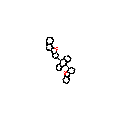 c1ccc2c(c1)ccc1c3ccc(-c4c5ccccc5c(-c5cccc6c5oc5ccccc56)c5ccccc45)cc3oc21